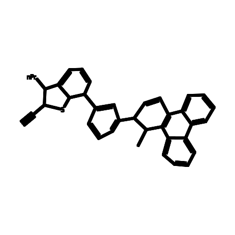 C#CC1SC2C(=CC=CC2c2cccc(C3C=Cc4c(c5ccccc5c5ccccc45)C3C)c2)C1CCC